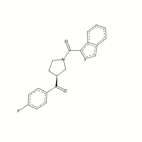 O=C(c1ccc(F)cc1)[C@H]1CCN(C(=O)c2scc3ccccc23)C1